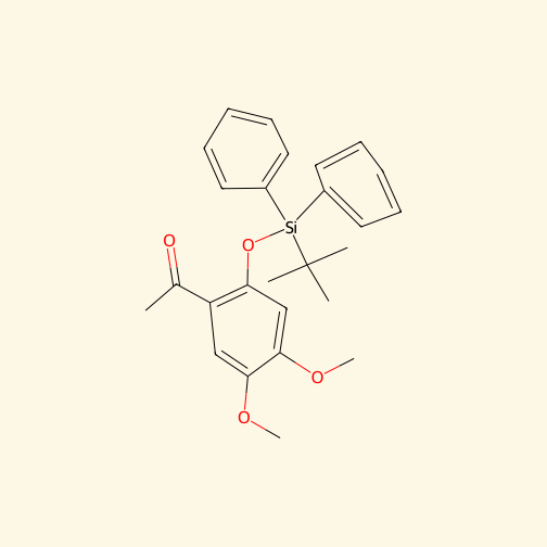 COc1cc(O[Si](c2ccccc2)(c2ccccc2)C(C)(C)C)c(C(C)=O)cc1OC